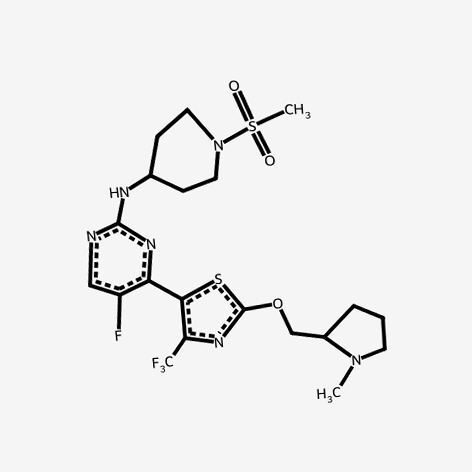 CN1CCCC1COc1nc(C(F)(F)F)c(-c2nc(NC3CCN(S(C)(=O)=O)CC3)ncc2F)s1